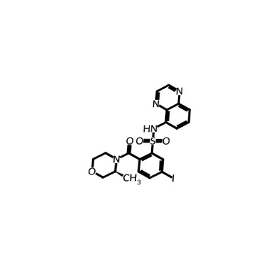 C[C@H]1COCCN1C(=O)c1ccc(I)cc1S(=O)(=O)Nc1cccc2nccnc12